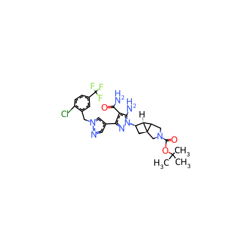 CC(C)(C)OC(=O)N1CC2[C@@H]3[C@H](n4nc(-c5cnn(Cc6cc(C(F)(F)F)ccc6Cl)c5)c(C(N)=O)c4N)C[C@]23C1